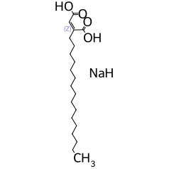 CCCCCCCCCCCCCCCC/C(=C/C(=O)O)C(=O)O.[NaH]